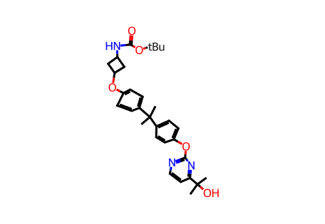 CC(C)(C)OC(=O)NC1CC(Oc2ccc(C(C)(C)c3ccc(Oc4nccc(C(C)(C)O)n4)cc3)cc2)C1